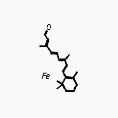 CC(C=CC=C(C)C=CC1=C(C)CCCC1(C)C)=CC=O.[Fe]